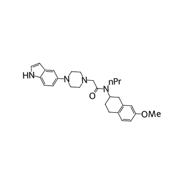 CCCN(C(=O)CN1CCN(c2ccc3[nH]ccc3c2)CC1)C1CCc2ccc(OC)cc2C1